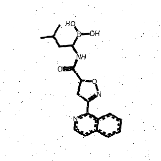 CC(C)CC(NC(=O)C1CC(c2nccc3ccccc23)=NO1)B(O)O